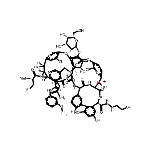 CN[C@H](CC(C)C)C(=O)N[C@H]1C(=O)N[C@@H](CC(N)=O)C(=O)N[C@H]2C(=O)N[C@H]3C(=O)N[C@H](C(=O)N[C@@H](C(=O)NNCCO)c4cc(O)cc(O)c4-c4cc3ccc4O)[C@H](O)c3ccc(c(Cl)c3)Oc3cc2cc(c3O[C@@H]2O[C@H](CO)[C@@H](O)[C@H](O)[C@H]2O[C@H]2C[C@](C)(NCc3cncc(C(=O)Nc4cccc(OC(F)(F)F)c4)c3)[C@H](O)[C@H](C)O2)Oc2ccc(cc2Cl)[C@H]1O